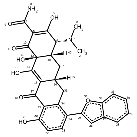 CN(C)[C@H]1C(O)=C(C(N)=O)C(=O)[C@@]2(O)C(O)=C3C(=O)c4c(O)ccc(-c5cc6ccccc6o5)c4C[C@H]3C[C@@H]12